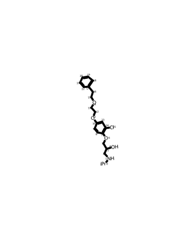 CC(C)NCC(O)COc1ccc(OCCOCCc2ccccc2)cc1Cl